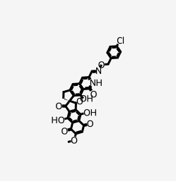 COC1=CC(=O)c2c(O)c3c(c(O)c2C1=O)C(=O)[C@]1(CCc2cc4cc(C=NOCc5ccc(Cl)cc5)[nH]c(=O)c4c(O)c21)C3=O